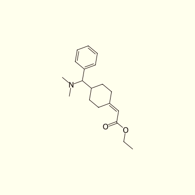 CCOC(=O)C=C1CCC(C(c2ccccc2)N(C)C)CC1